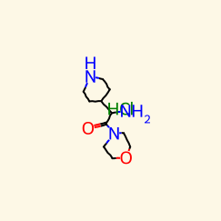 Cl.NC(C(=O)N1CCOCC1)C1CCNCC1